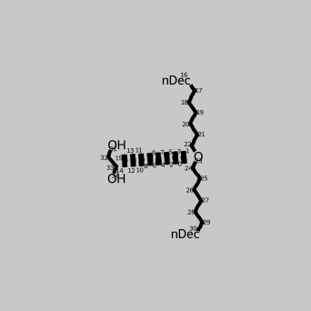 C=C.C=C.C=C.C=C.C=C.C=C.C=C.C=C.CCCCCCCCCCCCCCCCOCCCCCCCCCCCCCCCC.OCCO